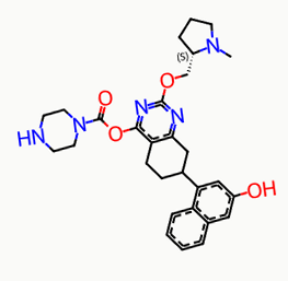 CN1CCC[C@H]1COc1nc2c(c(OC(=O)N3CCNCC3)n1)CCC(c1cc(O)cc3ccccc13)C2